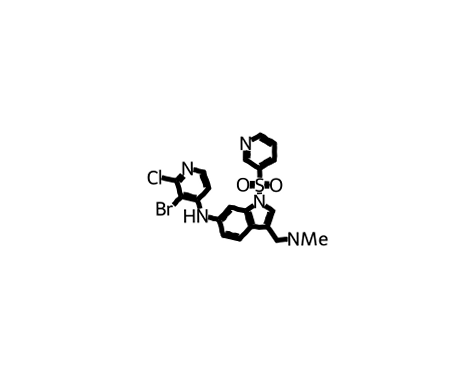 CNCc1cn(S(=O)(=O)c2cccnc2)c2cc(Nc3ccnc(Cl)c3Br)ccc12